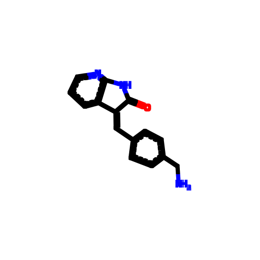 NCc1ccc(C=C2C(=O)Nc3ncccc32)cc1